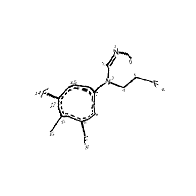 C/N=C\N(CCF)c1cc(F)c(C)c(F)c1